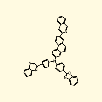 c1ccc2cc(-c3ccc4c(ccc5cc(N(c6ccc(-c7cnc8ccccc8n7)cc6)c6ccc(-c7nc8ccccc8o7)cc6)ccc54)c3)ncc2c1